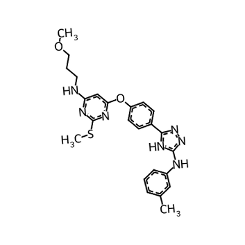 COCCCNc1cc(Oc2ccc(-c3nnc(Nc4cccc(C)c4)[nH]3)cc2)nc(SC)n1